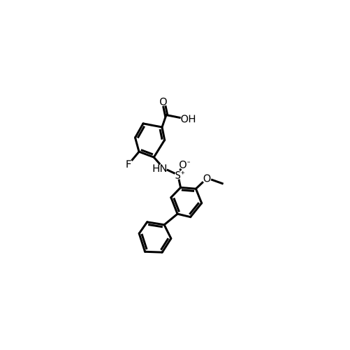 COc1ccc(-c2ccccc2)cc1[S+]([O-])Nc1cc(C(=O)O)ccc1F